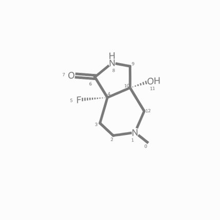 CN1CC[C@@]2(F)C(=O)NC[C@@]2(O)C1